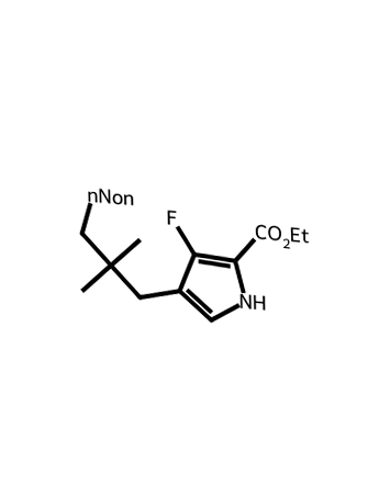 CCCCCCCCCCC(C)(C)Cc1c[nH]c(C(=O)OCC)c1F